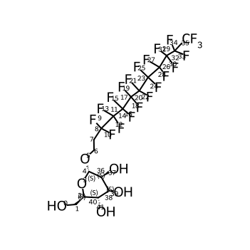 OC[C@H]1O[C@H](OCCC(F)(F)C(F)(F)C(F)(F)C(F)(F)C(F)(F)C(F)(F)C(F)(F)C(F)(F)C(F)(F)C(F)(F)F)[C@@H](O)[C@@H](O)[C@@H]1O